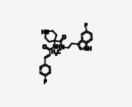 CN(CCc1c[nH]c2ccc(F)cc12)C(=O)C1(NC(=O)C=Cc2ccc(F)cc2)CCNCC1